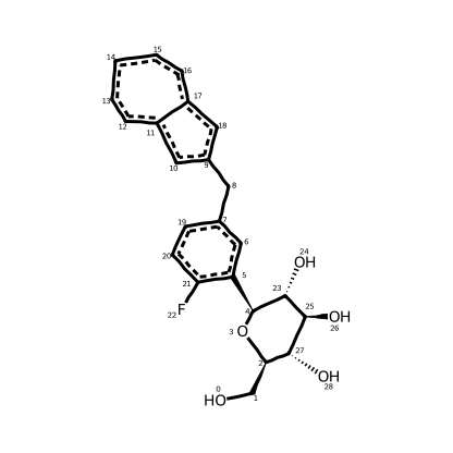 OC[C@H]1O[C@@H](c2cc(Cc3cc4cccccc-4c3)ccc2F)[C@H](O)[C@@H](O)[C@@H]1O